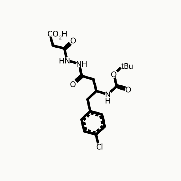 CC(C)(C)OC(=O)NC(CC(=O)NNC(=O)CC(=O)O)Cc1ccc(Cl)cc1